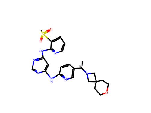 C[C@H](c1ccc(Nc2cc(Nc3ncccc3S(C)(=O)=O)ncn2)nc1)N1CC2(CCOCC2)C1